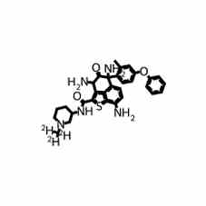 [2H]C([2H])([2H])N1CCCC(NC(=O)c2sc3c(N)ccc4c3c2C(N)C(=O)C4(N)c2ccc(Oc3ccccc3)cc2C)C1